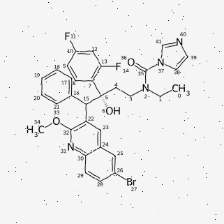 CCN(CC[C@](O)(c1ccc(F)cc1F)C(c1ccccc1)c1cc2cc(Br)ccc2nc1OC)C(=O)n1ccnc1